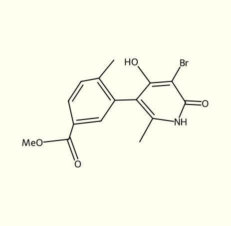 COC(=O)c1ccc(C)c(-c2c(C)[nH]c(=O)c(Br)c2O)c1